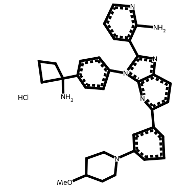 COC1CCN(c2cccc(-c3ccc4nc(-c5cccnc5N)n(-c5ccc(C6(N)CCC6)cc5)c4n3)c2)CC1.Cl